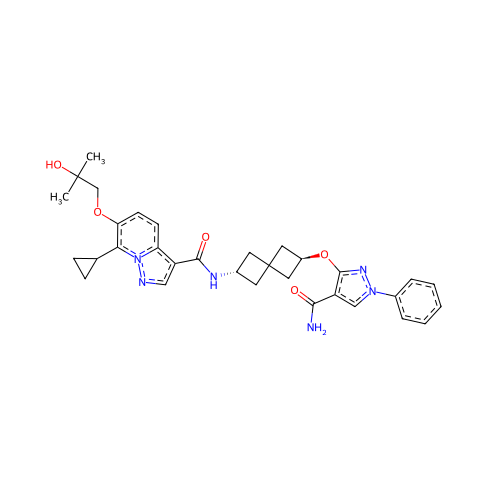 CC(C)(O)COc1ccc2c(C(=O)N[C@H]3CC4(C3)C[C@H](Oc3nn(-c5ccccc5)cc3C(N)=O)C4)cnn2c1C1CC1